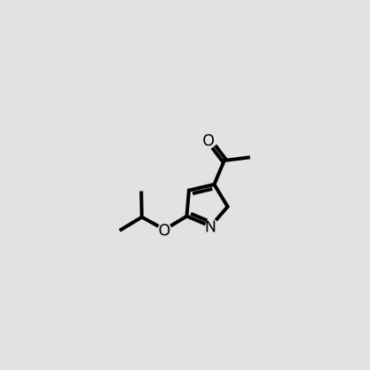 CC(=O)C1=CC(OC(C)C)=NC1